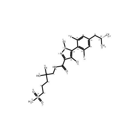 CCn1nc(C(=O)NCC(O)(CC)CCCS(C)(=O)=O)c(Cl)c1-c1c(F)cc(C[C@@H](C)C(F)(F)F)cc1F